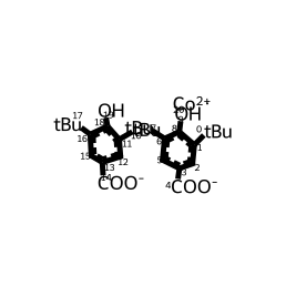 CC(C)(C)c1cc(C(=O)[O-])cc(C(C)(C)C)c1O.CC(C)(C)c1cc(C(=O)[O-])cc(C(C)(C)C)c1O.[Co+2]